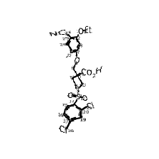 CCOc1cc(OCC2(C(=O)O)CN(S(=O)(=O)c3ccc(Cl)cc3Cl)C2)ccc1C#N